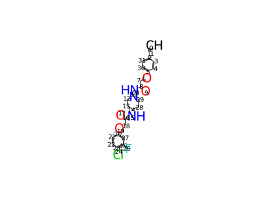 C#Cc1ccc(OCC(=O)NN2CCC(NC(=O)COc3ccc(Cl)c(F)c3)CC2)cc1